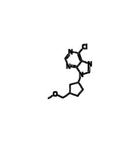 COCC1CCC(n2cnc3c(Cl)ncnc32)C1